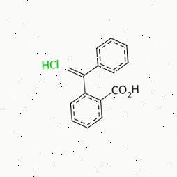 C=C(c1ccccc1)c1ccccc1C(=O)O.Cl